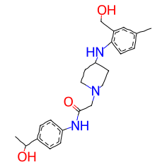 Cc1ccc(NC2CCN(CC(=O)Nc3ccc(C(C)O)cc3)CC2)c(CO)c1